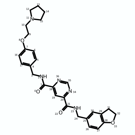 O=C(NCc1ccc(OCCN2CCCC2)cc1)c1cc(C(=O)NCc2ccc3c(c2)CCO3)ncn1